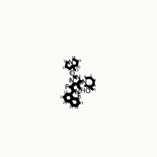 CC1(O)CCCCN(c2nc(OCC34CCCN3CCC4)nc3c(F)c(-c4cccc5cccc(F)c45)ncc23)C1